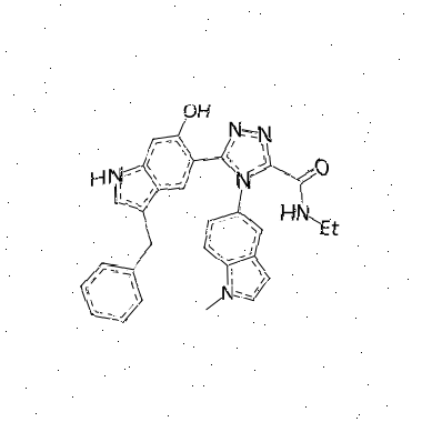 CCNC(=O)c1nnc(-c2cc3c(Cc4ccccc4)c[nH]c3cc2O)n1-c1ccc2c(ccn2C)c1